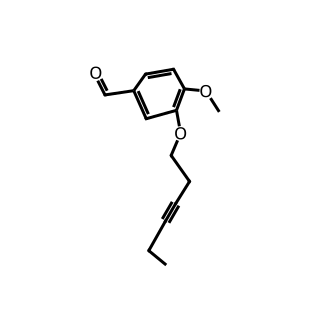 CCC#CCCOc1cc(C=O)ccc1OC